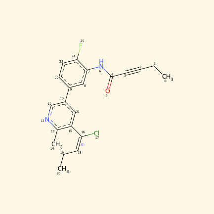 CCC#CC(=O)Nc1cc(-c2cnc(C)c(/C(Cl)=C\CC)c2)ccc1F